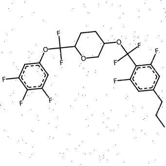 CCCc1cc(F)c(C(F)(F)OC2CCC(C(F)(F)Oc3cc(F)c(F)c(F)c3)OC2)c(F)c1